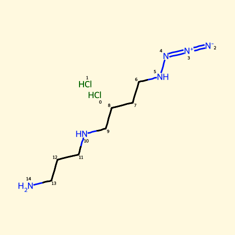 Cl.Cl.[N-]=[N+]=NNCCCCNCCCN